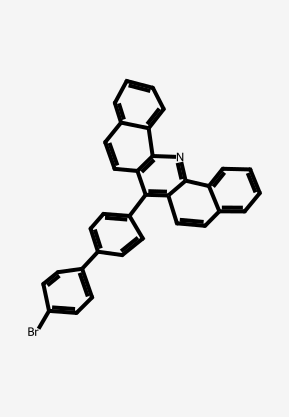 Brc1ccc(-c2ccc(-c3c4ccc5ccccc5c4nc4c3ccc3ccccc34)cc2)cc1